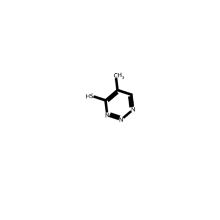 Cc1cnnnc1S